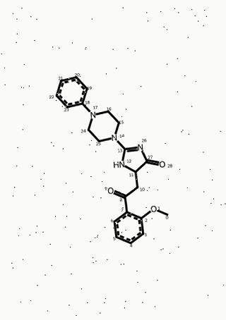 COc1ccccc1C(=O)CC1NC(N2CCN(c3ccccc3)CC2)=NC1=O